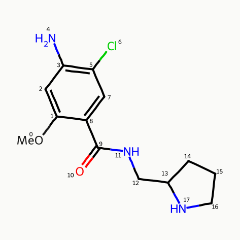 COc1cc(N)c(Cl)cc1C(=O)NCC1CCCN1